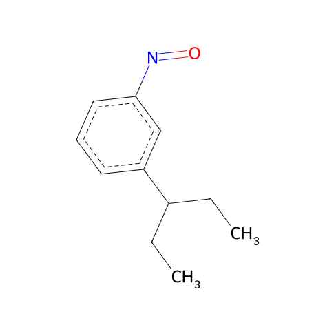 CCC(CC)c1cccc(N=O)c1